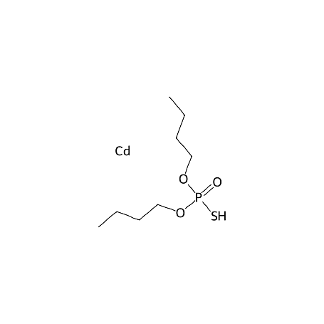 CCCCOP(=O)(S)OCCCC.[Cd]